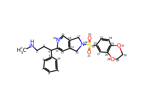 CNCCC(c1ccccc1)c1cc2c(cn1)CN(S(=O)(=O)c1ccc3c(c1)OCCO3)C2